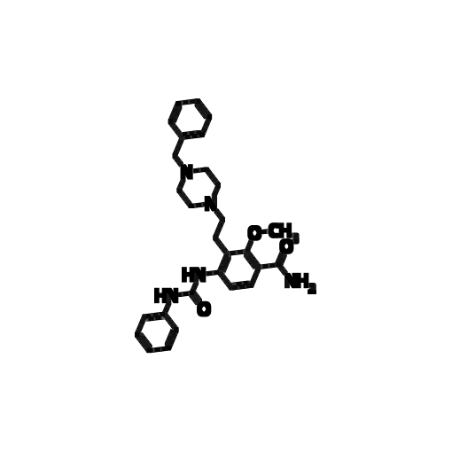 COc1c(C(N)=O)ccc(NC(=O)Nc2ccccc2)c1CCN1CCN(Cc2ccccc2)CC1